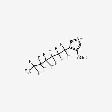 CCCCCCCCc1c[nH]cc1C(F)(F)C(F)(F)C(F)(F)C(F)(F)C(F)(F)C(F)(F)C(F)(F)F